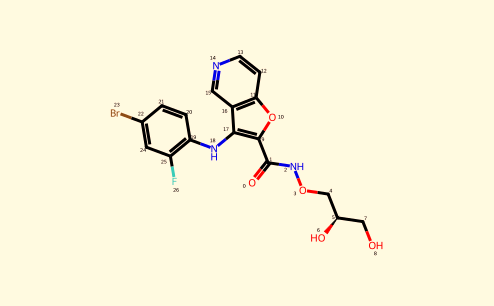 O=C(NOC[C@H](O)CO)c1oc2ccncc2c1Nc1ccc(Br)cc1F